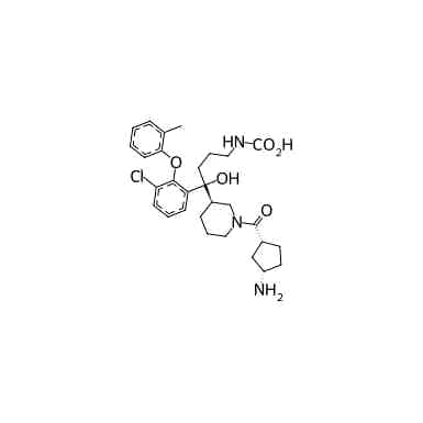 Cc1ccccc1Oc1c(Cl)cccc1C(O)(CCCNC(=O)O)[C@@H]1CCCN(C(=O)[C@@H]2CC[C@H](N)C2)C1